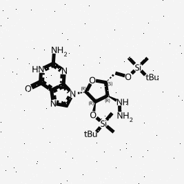 CC(C)(C)[Si](C)(C)OC[C@H]1O[C@@H](n2cnc3c(=O)[nH]c(N)nc32)[C@H](O[Si](C)(C)C(C)(C)C)[C@@H]1NN